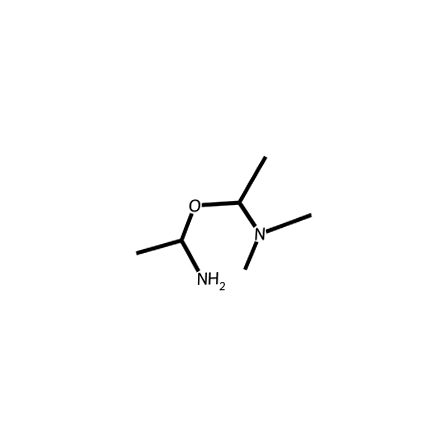 CC(N)OC(C)N(C)C